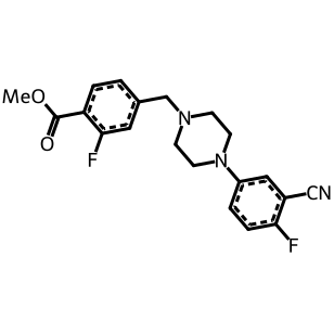 COC(=O)c1ccc(CN2CCN(c3ccc(F)c(C#N)c3)CC2)cc1F